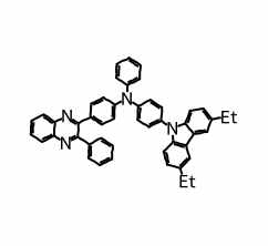 CCc1ccc2c(c1)c1cc(CC)ccc1n2-c1ccc(N(c2ccccc2)c2ccc(-c3nc4ccccc4nc3-c3ccccc3)cc2)cc1